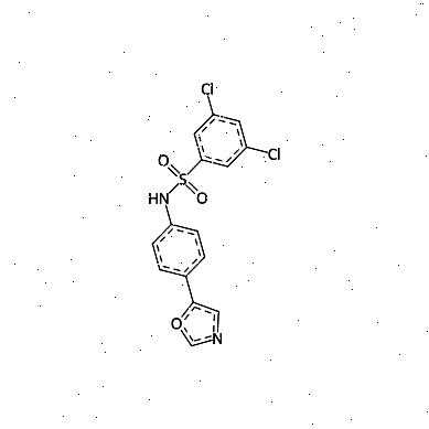 O=S(=O)(Nc1ccc(-c2cnco2)cc1)c1cc(Cl)cc(Cl)c1